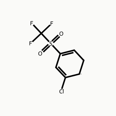 O=S(=O)(C1=CC[CH]C(Cl)=C1)C(F)(F)F